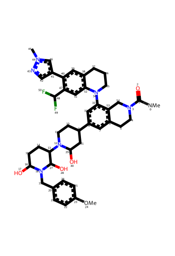 CNC(=O)N1CCc2cc(C3CCN(C4CCC(O)N(Cc5ccc(OC)cc5)C4O)C(O)C3)cc(N3CCCc4cc(-c5cnn(C)c5)c(C(F)F)cc43)c2C1